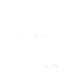 O=C1CC2=NN=CC2=C2C=CC=CN12